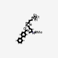 CC[Si](CC)(CC)OCCc1noc(C2C/C(=N\OC)CN2C(=O)c2ccc(-c3ccccc3)cc2)n1